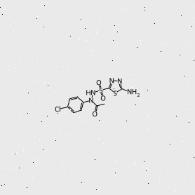 CC(=O)N(NS(=O)(=O)c1nnc(N)s1)c1ccc(Cl)cc1